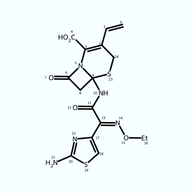 C=CC1=C(C(=O)O)N2C(=O)CC2(NC(=O)C(=NOCC)c2csc(N)n2)SC1